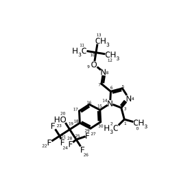 CC(C)c1ncc(C=NOC(C)(C)C)n1-c1ccc(C(O)(C(F)(F)F)C(F)(F)F)cc1